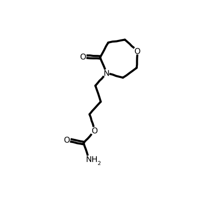 NC(=O)OCCCN1CCOCCC1=O